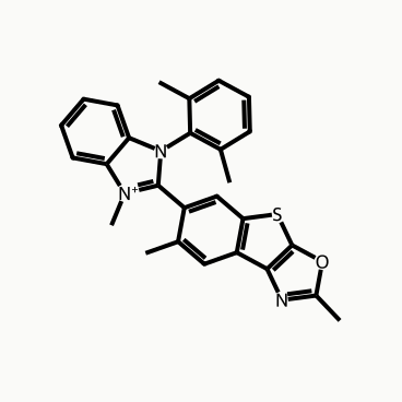 Cc1nc2c(o1)sc1cc(-c3n(-c4c(C)cccc4C)c4ccccc4[n+]3C)c(C)cc12